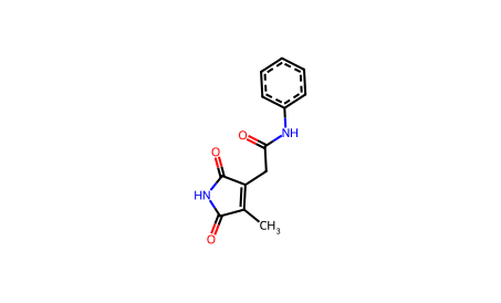 CC1=C(CC(=O)Nc2ccccc2)C(=O)NC1=O